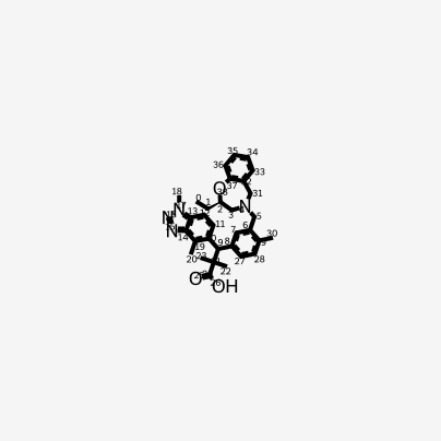 CC[C@@H]1CN(Cc2cc(C(c3ccc4c(nnn4C)c3C)C(C)(C)C(=O)O)ccc2C)Cc2ccccc2O1